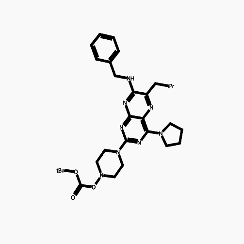 CC(C)Cc1nc2c(N3CCCC3)nc(N3CCN(OC(=O)OC(C)(C)C)CC3)nc2nc1NCc1ccccc1